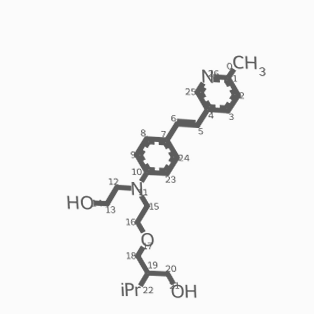 Cc1ccc(/C=C/c2ccc(N(CCO)CCOCC(CO)C(C)C)cc2)cn1